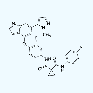 Cn1nccc1-c1cc(Oc2ccc(NC(=O)C3(C(=O)Nc4ccc(F)cc4)CC3)cc2F)c2ccnn2c1